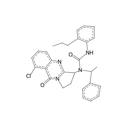 CCCc1ccccc1NC(=O)N(C(C)c1ccccc1)C1CCn2c1nc1cccc(Cl)c1c2=O